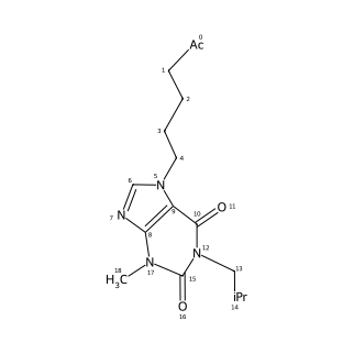 CC(=O)CCCCn1cnc2c1c(=O)n(CC(C)C)c(=O)n2C